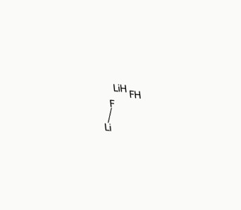 F.[LiH].[Li][F]